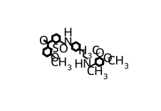 COc1ccc(C(C)NCCCc2ccc(NC(=O)c3cccc4c(=O)c5cccc(OC)c5sc34)cc2)cc1OC